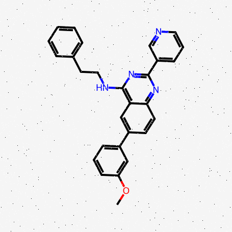 COc1cccc(-c2ccc3nc(-c4cccnc4)nc(NCCc4ccccc4)c3c2)c1